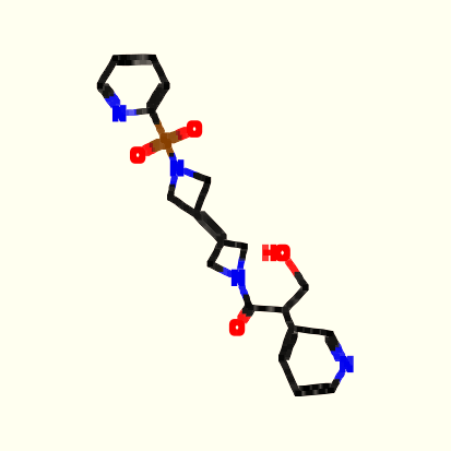 O=C(C(CO)c1cccnc1)N1CC(=C2CN(S(=O)(=O)c3ccccn3)C2)C1